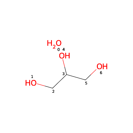 O.OCC(O)CO